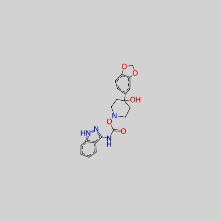 O=C(Nc1n[nH]c2ccccc12)ON1CCC(O)(c2ccc3c(c2)OCO3)CC1